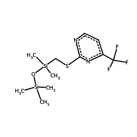 C[Si](C)(C)O[Si](C)(C)CSc1nccc(C(F)(F)F)n1